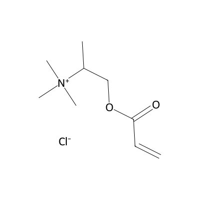 C=CC(=O)OCC(C)[N+](C)(C)C.[Cl-]